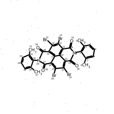 Cc1cccc(C)c1N1C(=O)c2c(Br)c(Br)c3c4c(c(Br)c(Br)c(c24)C1=O)C(=O)N(c1c(C)cccc1C)C3=O